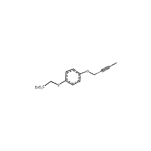 CC#CCOc1ccc(SCC(=O)OCC)cc1